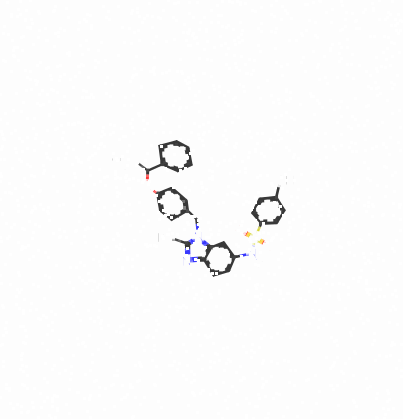 CCCCc1nc2ccc(N(C)S(=O)(=O)c3ccc(C)cc3)cc2n1Cc1ccc(OC(C(=O)O)c2ccccc2)cc1